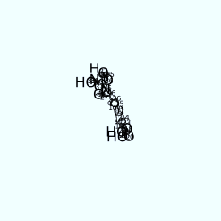 C[C@@](CCn1ccc(-c2ccc(OC[C@H]3CC[C@H](OP(=O)(O)O)CC3)cc2)cc1=O)(C(=O)NO)S(C)(=O)=O